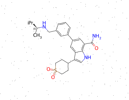 CC(C)[C@H](C)NCc1cccc(-c2cc(C(N)=O)c3[nH]cc(C4CCS(=O)(=O)CC4)c3c2)c1